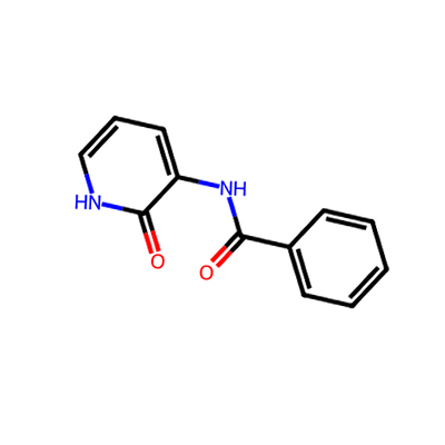 O=C(Nc1ccc[nH]c1=O)c1ccccc1